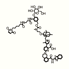 Cc1c(-c2ccc(N3CCc4cccc(C(=O)Nc5nc6ccccc6s5)c4C3)nc2C(=O)O)cnn1CC12CC3(C)CC(C)(C1)CC(OCCN(C)C(=O)OCc1ccc(O[C@@H]4O[C@H](CO)C(O)[C@H](O)[C@H]4O)c(NC(=O)CCNC(=O)CCCCCN4C(=O)C=CC4=O)c1)(C3)C2